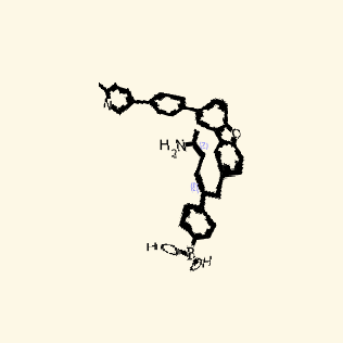 C/C(N)=C/C=C(\Cc1ccc2oc3ccc(-c4ccc(-c5ccc(C)nc5)cc4)cc3c2c1)c1ccc(B(O)O)cc1